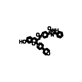 O=C(C[C@H](Cc1ccc(O)cc1)C(=O)N1CCC(C2CCOCC2)CC1)N1CCC(n2nc(-c3ccccc3)[nH]c2=O)CC1